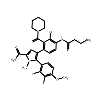 COc1ccc(-c2c(-c3ccc(NC(=O)CCN)c(Cl)c3C(=O)N3CCCCC3)nc(C(N)=O)n2C)c(F)c1F